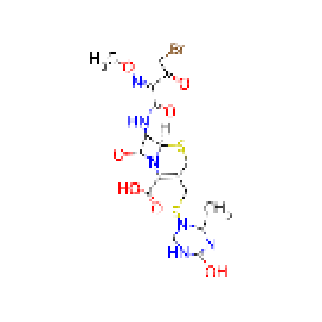 CON=C(C(=O)CBr)C(=O)N[C@@H]1C(=O)N2C(C(=O)O)=C(CSN3CNC(O)=NC3C)CS[C@H]12